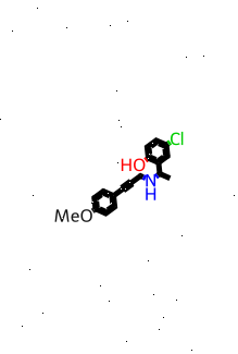 COc1ccc(C#CCNC(C)c2cc(Cl)ccc2O)cc1